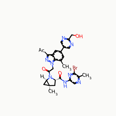 CC(=O)c1nn(CC(=O)N2[C@H](C(=O)Nc3cnc(C)c(Br)n3)C[C@@]3(C)C[C@@H]23)c2c(C)cc(-c3cnc(CO)nc3)cc12